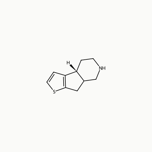 c1cc2c(s1)CC1CNCC[C@@H]21